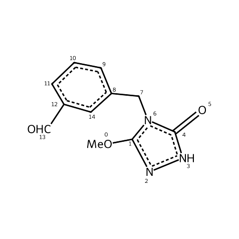 COc1n[nH]c(=O)n1Cc1cccc(C=O)c1